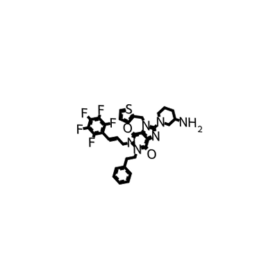 NC1CCCN(c2nc3c(=O)n(CCc4ccccc4)n(C/C=C/c4c(F)c(F)c(F)c(F)c4F)c(=O)c3n2Cc2cccs2)C1